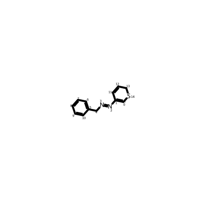 [C]1=C(N=NCc2ccccc2)C=CCS1